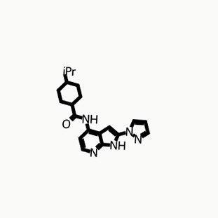 CC(C)C1CCC(C(=O)Nc2ccnc3[nH]c(-n4cccn4)cc23)CC1